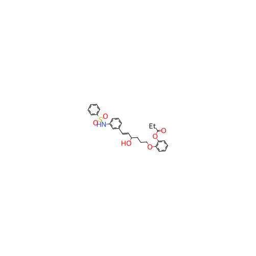 CCC(=O)Oc1ccccc1OCCCC(O)/C=C/c1cccc(NS(=O)(=O)c2ccccc2)c1